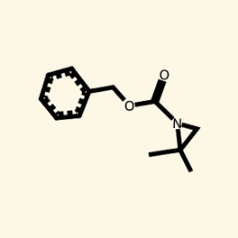 CC1(C)CN1C(=O)OCc1ccccc1